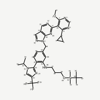 COc1ncnc(C2CC2)c1-c1ncc2cnn(Cc3ccc(-c4nc(C(F)(F)F)cn4C(C)C)c(NCCCO[Si](C)(C)C(C)(C)C)c3)c2n1